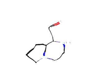 O=[C]C1NCCN2CCCC12